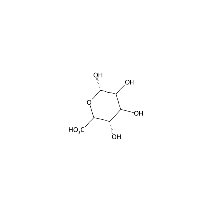 O=C(O)C1O[C@H](O)C(O)C(O)[C@@H]1O